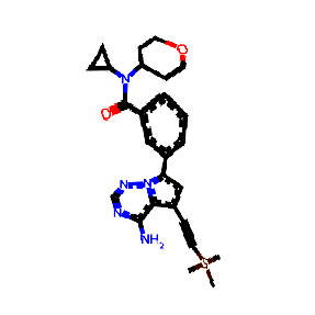 CS(C)(C)C#Cc1cc(-c2cccc(C(=O)N(C3CCOCC3)C3CC3)c2)n2ncnc(N)c12